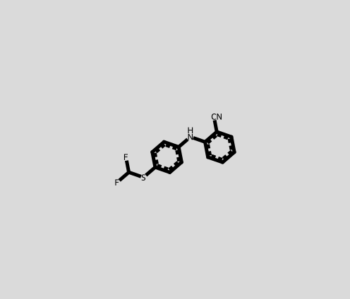 N#Cc1ccccc1Nc1ccc(SC(F)F)cc1